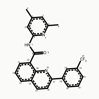 Cc1cc(C)nc(NC(=O)c2cccc3ccc(-c4cccc(C(F)(F)F)c4)nc23)c1